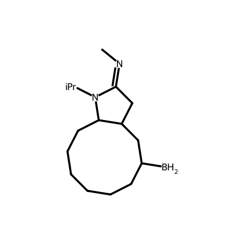 BC1CCCCCCC2C(C/C(=N/C)N2C(C)C)C1